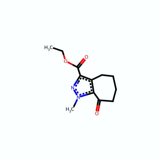 CCOC(=O)c1nn(C)c2c1CCCCC2=O